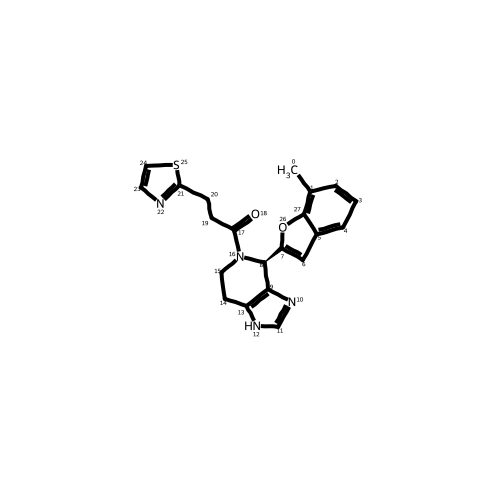 Cc1cccc2cc([C@H]3c4nc[nH]c4CCN3C(=O)CCc3nccs3)oc12